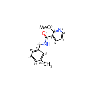 COc1ncccc1C(=O)NCc1cccc(C)c1